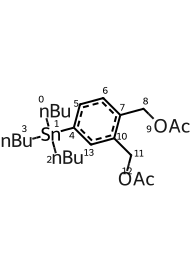 CCC[CH2][Sn]([CH2]CCC)([CH2]CCC)[c]1ccc(COC(C)=O)c(COC(C)=O)c1